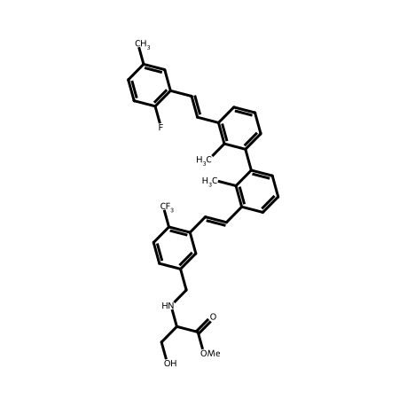 COC(=O)C(CO)NCc1ccc(C(F)(F)F)c(/C=C/c2cccc(-c3cccc(/C=C/c4cc(C)ccc4F)c3C)c2C)c1